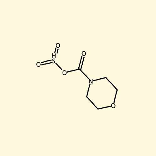 O=C(O[SH](=O)=O)N1CCOCC1